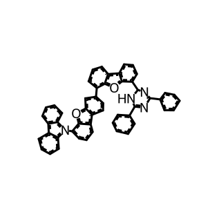 c1ccc(C2=NC(c3cccc4c3oc3c(-c5ccc6c(c5)oc5c(-n7c8ccccc8c8ccccc87)cccc56)cccc34)NC(c3ccccc3)=N2)cc1